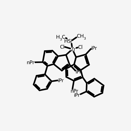 CCCc1ccc2c(c1-c1ccccc1C(C)C)C=C(C(C)C)[CH]2[Zr]([Cl])([Cl])([CH]1C(C(C)C)=Cc2c1ccc(CCC)c2-c1ccccc1C(C)C)[SiH](C)C